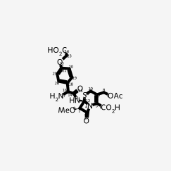 CO[C@H]1C(=O)N2C(C(=O)O)=C(COC(C)=O)CS[C@@]12NC(=O)C(N)c1ccc(OCC(=O)O)cc1